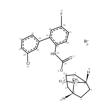 C[N+]1(C)[C@@H]2CC[C@H]1C[C@@H](OC(=O)Nc1ccc(F)cc1-c1cccc(Cl)c1)C2.[Br-]